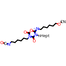 CCCCCCCn1c(=O)n(CCCCCCN=C=O)c(=O)o/c1=N/CCCCCCOC#N